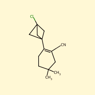 CC1(C)CCC(C23CC(Cl)(C2)C3)=C(C#N)C1